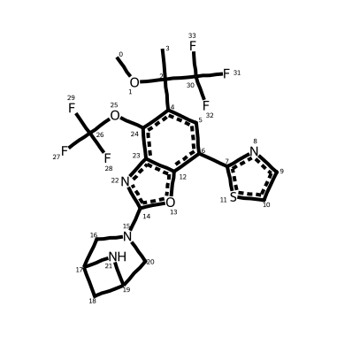 COC(C)(c1cc(-c2nccs2)c2oc(N3CC4CC(C3)N4)nc2c1OC(F)(F)F)C(F)(F)F